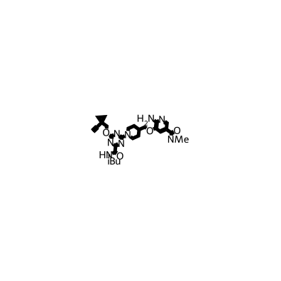 C#CC1(COc2nc(C(=O)N[C@H](C)CC)nc(N3CCC(COc4cc(C(=O)NC)cnc4N)CC3)n2)CC1